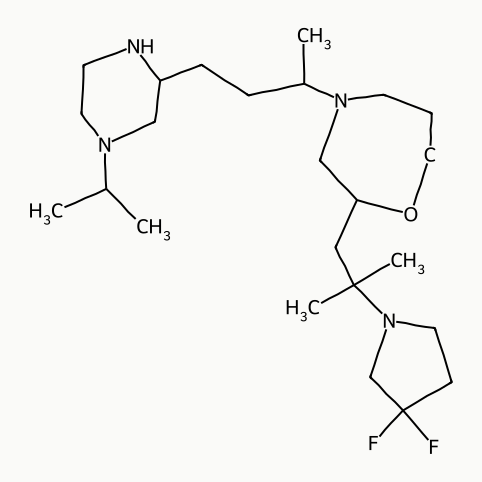 CC(C)N1CCNC(CCC(C)N2CCCOC(CC(C)(C)N3CCC(F)(F)C3)C2)C1